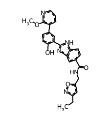 CCc1cc(CNC(=O)c2ccc3[nH]c(-c4cc(-c5cccnc5OC)ccc4O)nc3c2)on1